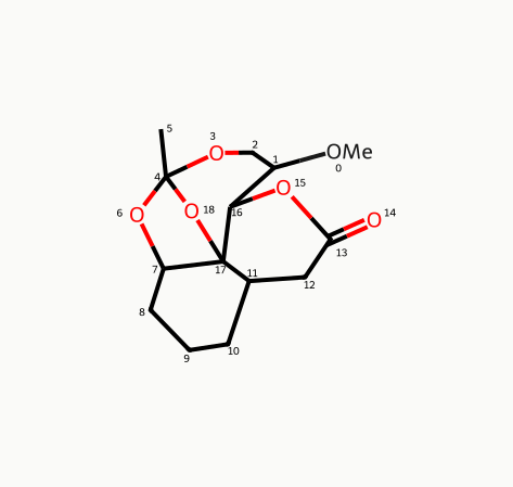 COC1COC2(C)OC3CCCC4CC(=O)OC1C43O2